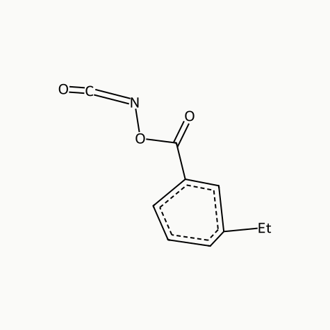 CCc1cccc(C(=O)ON=C=O)c1